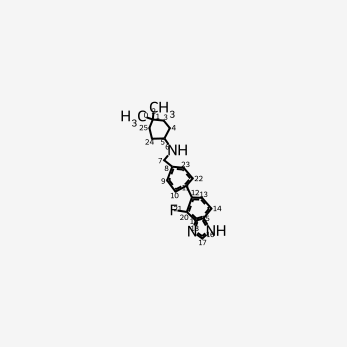 CC1(C)CCC(NCc2ccc(-c3ccc4[nH]cnc4c3F)cc2)CC1